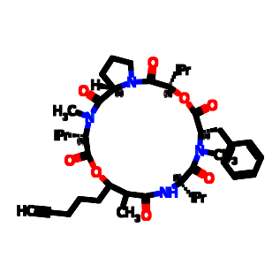 C#CCCCC1OC(=O)[C@H](C(C)C)N(C)C(=O)[C@@H]2CCCN2C(=O)[C@H](C(C)C)OC(=O)[C@H](Cc2ccccc2)N(C)C(=O)[C@H](C(C)C)NC(=O)C1C